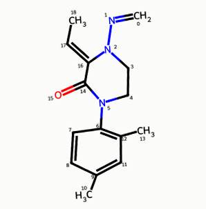 C=NN1CCN(c2ccc(C)cc2C)C(=O)/C1=C/C